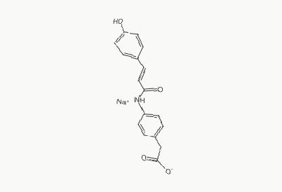 O=C([O-])Cc1ccc(NC(=O)C=Cc2ccc(O)cc2)cc1.[Na+]